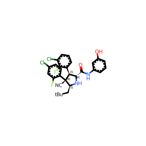 CC(C)(C)C[C@@H]1N[C@@H](C(=O)Nc2cccc(O)c2)[C@H](c2cccc(Cl)c2F)[C@@]1(C#N)c1ccc(Cl)cc1F